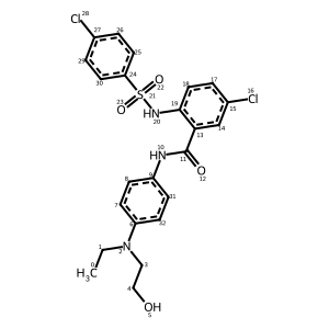 CCN(CCO)c1ccc(NC(=O)c2cc(Cl)ccc2NS(=O)(=O)c2ccc(Cl)cc2)cc1